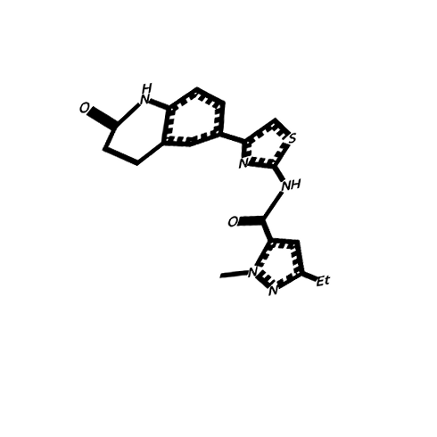 CCc1cc(C(=O)Nc2nc(-c3ccc4c(c3)CCC(=O)N4)cs2)n(C)n1